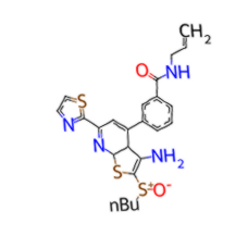 C=CCNC(=O)c1cccc(C2=CC(c3nccs3)=NC3SC([S+]([O-])CCCC)=C(N)C23)c1